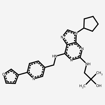 CC(C)(O)CNc1nc(NCc2ccc(-c3ccoc3)nc2)c2ncn(C3CCCC3)c2n1